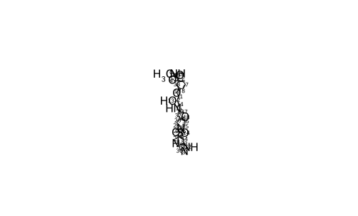 CNS(=O)(=O)c1cccc(OC[C@@H](O)CNC2COC3(CCN(S(=O)(=O)c4cnc5cn[nH]c5c4)CC3)C2)c1